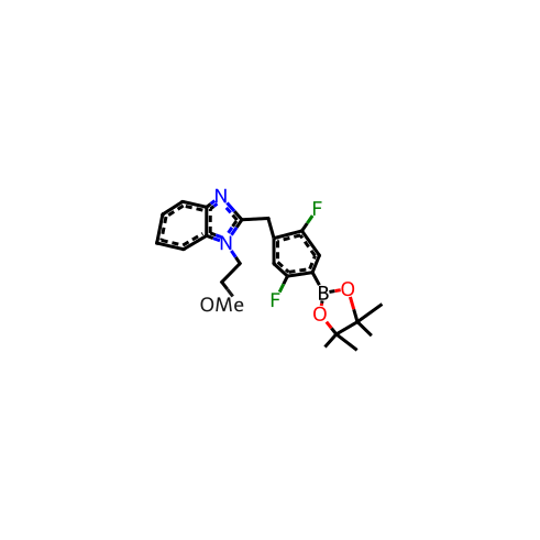 COCCn1c(Cc2cc(F)c(B3OC(C)(C)C(C)(C)O3)cc2F)nc2ccccc21